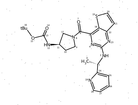 C[C@H](Nc1nc(C(=O)N2CC[C@@H](NC(=O)OC(C)(C)C)C2)c2sccc2n1)c1ccccn1